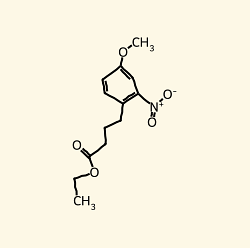 CCOC(=O)CCCc1ccc(OC)cc1[N+](=O)[O-]